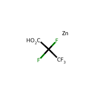 O=C(O)C(F)(F)C(F)(F)F.[Zn]